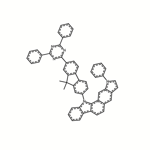 CC1(C)c2cc(-c3nc(-c4ccccc4)nc(-c4ccccc4)n3)ccc2-c2ccc(-n3c4ccccc4c4ccc5cc6ccn(-c7ccccc7)c6cc5c43)cc21